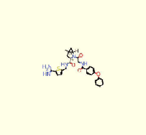 C[C@@]12C[C@@H]1N(C(=O)CNC(=O)c1ccc(Oc3ccccc3)cc1)[C@H](C(=O)NCc1ccc(C(=N)N)s1)C2